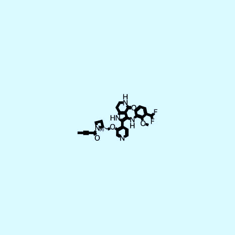 CC#CC(=O)N1CC[C@@H]1COc1cnccc1-c1[nH]c2c(c1Nc1cccc(C(F)F)c1OC)C(=O)NCC2